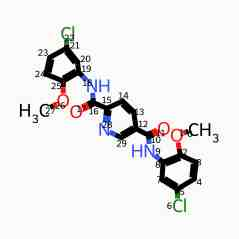 COc1ccc(Cl)cc1NC(=O)c1ccc(C(=O)Nc2cc(Cl)ccc2OC)nc1